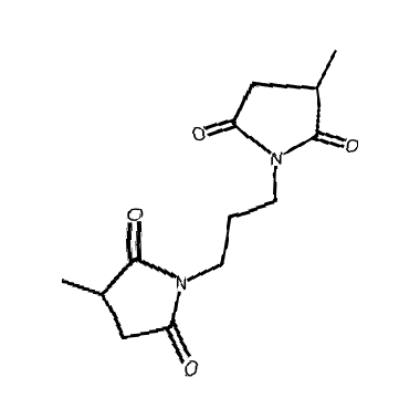 CC1CC(=O)N(CCCN2C(=O)CC(C)C2=O)C1=O